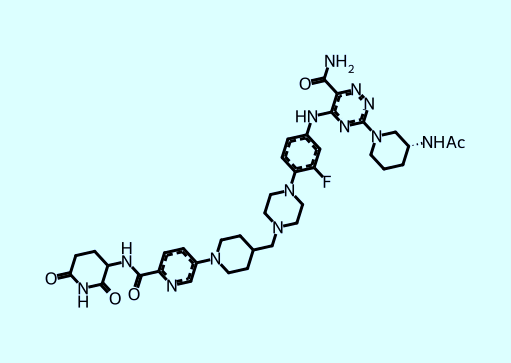 CC(=O)N[C@@H]1CCCN(c2nnc(C(N)=O)c(Nc3ccc(N4CCN(CC5CCN(c6ccc(C(=O)NC7CCC(=O)NC7=O)nc6)CC5)CC4)c(F)c3)n2)C1